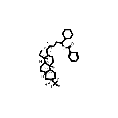 C[C@H](CCC(OC(=O)c1ccccc1)C1CCCCC1)[C@H]1CC[C@H]2[C@@H]3CC[C@H]4C[C@](O)(C(F)(F)F)CC[C@]4(C)[C@H]3CC[C@]12C